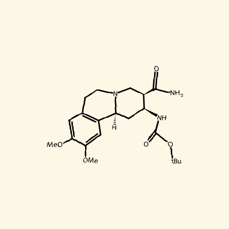 COc1cc2c(cc1OC)[C@@H]1C[C@H](NC(=O)OC(C)(C)C)[C@H](C(N)=O)CN1CC2